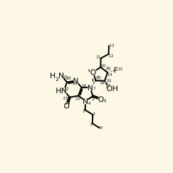 CCCCn1c(=O)n([C@@H]2OC(CCC)[C@H](F)[C@H]2O)c2nc(N)[nH]c(=O)c21